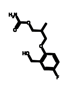 CC(COC(N)=O)COc1ccc(F)cc1CO